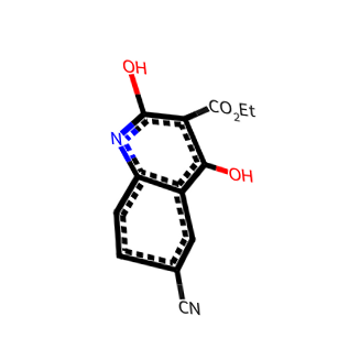 CCOC(=O)c1c(O)nc2ccc(C#N)cc2c1O